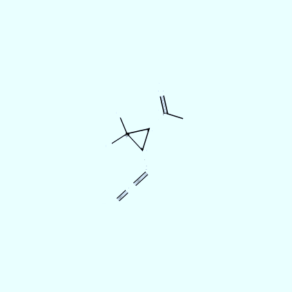 C=C=C[C@H]1[C@@H](C(=O)O)C1(C)C